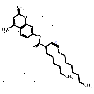 C=C1C=C(C)c2ccc(OC(=O)C(/C=C\CCCCCCCC)CCCCCC)cc2O1